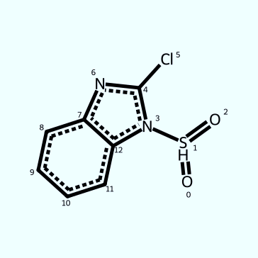 O=[SH](=O)n1c(Cl)nc2ccccc21